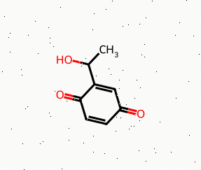 CC(O)C1=CC(=O)C=CC1=O